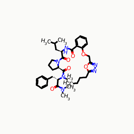 CCCCc1nnc(COc2ccccc2C(=O)N[C@H](CC(C)C)C(=O)N2CCC[C@@H]2C(=O)N(C)[C@@H](Cc2ccccc2)C(=O)N(C)C)o1